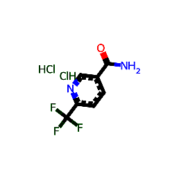 Cl.Cl.NC(=O)c1ccc(C(F)(F)F)nc1